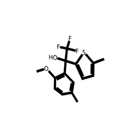 COc1ccc(C)cc1C(O)(c1ccc(C)s1)C(F)(F)F